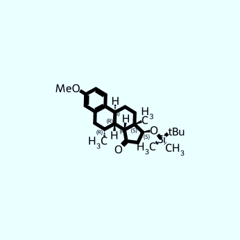 COc1ccc2c(c1)C[C@@H](C)[C@@H]1[C@@H]2CC[C@]2(C)[C@@H](O[Si](C)(C)C(C)(C)C)CC(=O)[C@H]12